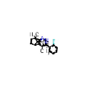 Cc1c(-c2ccccc2F)nnc2c1C1CCC2(C)C1(C)C